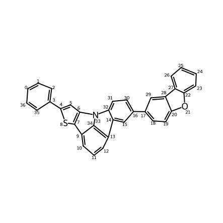 c1ccc(-c2cc3c(s2)c2cccc4c5cc(-c6ccc7oc8ccccc8c7c6)ccc5n3c42)cc1